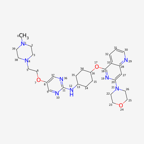 CN1CCN(CCOc2cnc(NC3CCC(Oc4nc(N5CCOCC5)cc5ncccc45)CC3)nc2)CC1